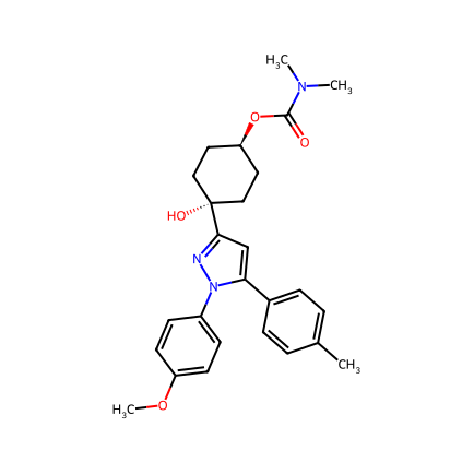 COc1ccc(-n2nc([C@]3(O)CC[C@H](OC(=O)N(C)C)CC3)cc2-c2ccc(C)cc2)cc1